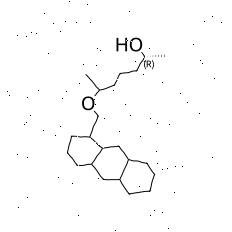 CC(CCC[C@@H](C)O)OCC1CCCC2CC3CCCCC3CC12